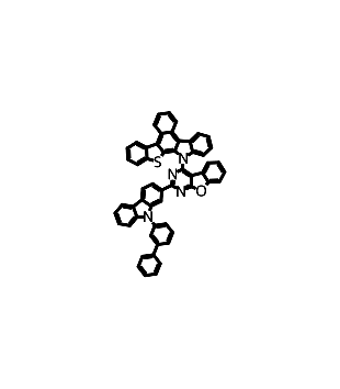 c1ccc(-c2cccc(-n3c4ccccc4c4ccc(-c5nc(-n6c7ccccc7c7c8ccccc8c8c9ccccc9sc8c76)c6c(n5)oc5ccccc56)cc43)c2)cc1